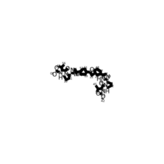 COC(=O)N[C@H](C(=O)N1CCC[C@H]1c1ncc(-c2ccc(-c3cc4cc(-c5cnc([C@@H]6CCCN6C(=O)[C@@H](NC(=O)OC)C(C)C)[nH]5)ccc4o3)cc2)[nH]1)C(C)C